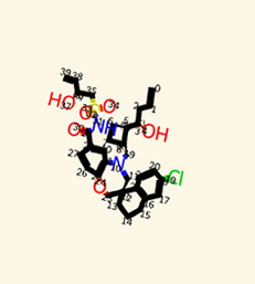 C=CC[C@H](O)[C@@H]1CC[C@H]1CN1C[C@@]2(CCCc3cc(Cl)ccc32)COc2ccc(C(=O)NS(=O)(=O)C[C@@H](O)C=C)cc21